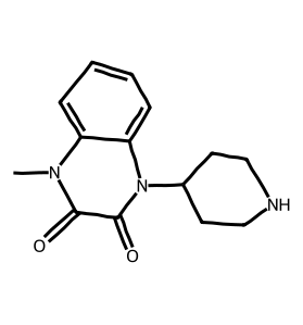 Cn1c(=O)c(=O)n(C2CCNCC2)c2ccccc21